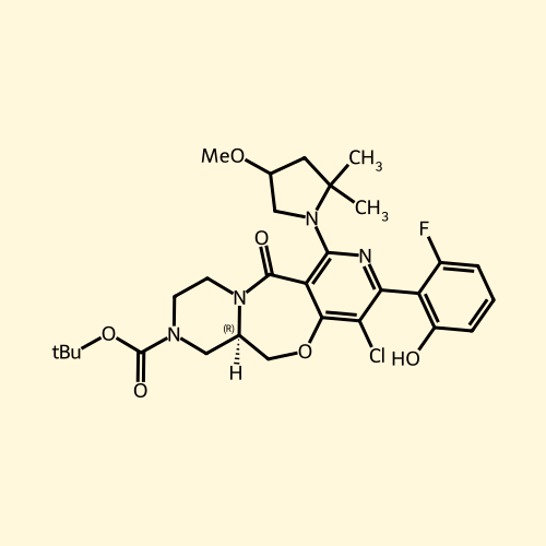 COC1CN(c2nc(-c3c(O)cccc3F)c(Cl)c3c2C(=O)N2CCN(C(=O)OC(C)(C)C)C[C@@H]2CO3)C(C)(C)C1